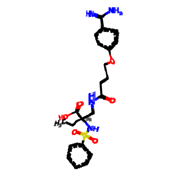 CC[C@@](CNC(=O)CCCOc1ccc(C(=N)N)cc1)(NS(=O)(=O)c1ccccc1)C(=O)O